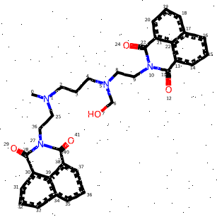 CN(CCCN(CO)CCN1C(=O)c2cccc3cccc(c23)C1=O)CCN1C(=O)c2cccc3cccc(c23)C1=O